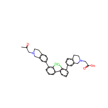 CC(=O)CN1CCc2ccc(-c3cccc(-c4cccc(-c5ccc6c(c5)CN(CC(=O)O)CC6)c4Cl)c3Cl)cc2C1